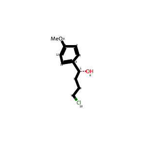 COc1ccc([C@H](O)CCCCl)cc1